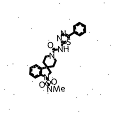 CNS(=O)(=O)N1CC2(CCN(C(=O)Nc3nnc(-c4ccccc4)s3)CC2)c2ccccc21